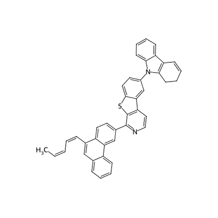 C/C=C\C=C/c1cc2ccccc2c2cc(-c3nccc4c3sc3ccc(-n5c6c(c7ccccc75)C=CCC6)cc34)ccc12